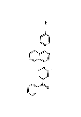 C[C@@H]1CN(C(=O)c2ccccc2)CCN1c1nnc(-c2ccc(C#N)cc2)c2ccncc12